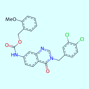 COc1ccccc1COC(=O)Nc1ccc2c(=O)n(Cc3ccc(Cl)c(Cl)c3)cnc2c1